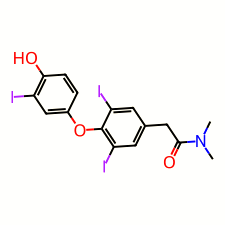 CN(C)C(=O)Cc1cc(I)c(Oc2ccc(O)c(I)c2)c(I)c1